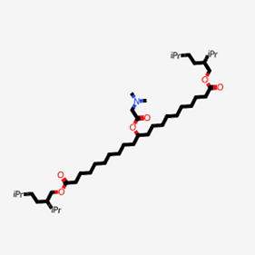 CC(C)CCC(COC(=O)CCCCCCCCCC(CCCCCCCCCC(=O)OCC(CCC(C)C)C(C)C)OC(=O)CN(C)C)C(C)C